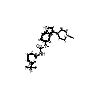 CN1CCC(c2c[nH]c3ccc(NC(=O)Nc4cccc(C(F)(F)F)c4)cc23)CC1